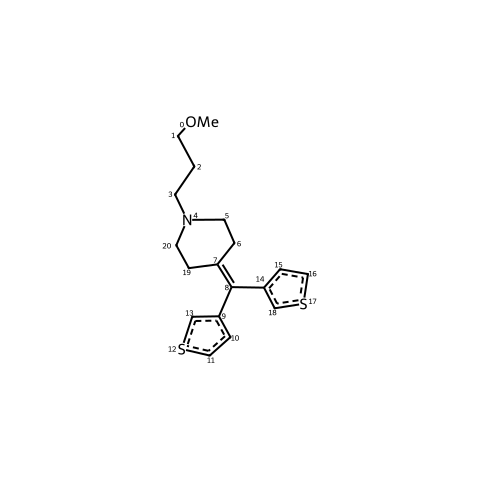 COCCCN1CCC(=C(c2ccsc2)c2ccsc2)CC1